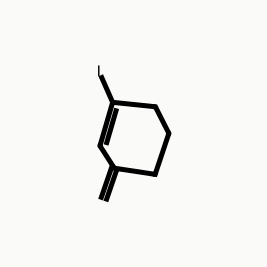 C=C1C=C(I)CCC1